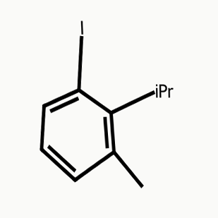 Cc1cccc(I)c1C(C)C